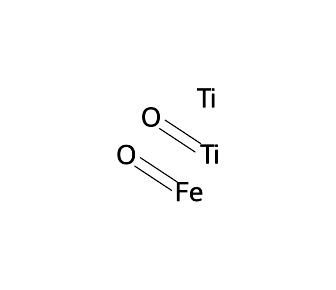 [O]=[Fe].[O]=[Ti].[Ti]